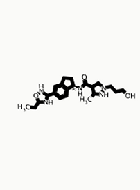 CCC1NC(c2ccc3c(c2)CC[C@H]3NC(=O)C2CN(CCCO)NC2C)NO1